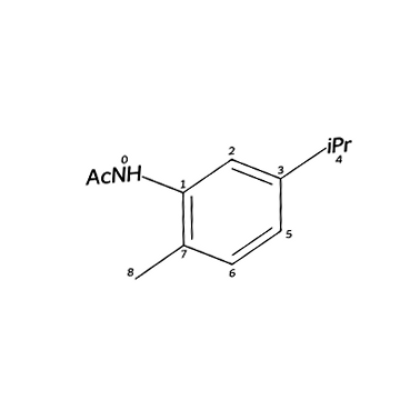 CC(=O)Nc1cc(C(C)C)ccc1C